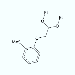 CCOC(COc1ccccc1SC)OCC